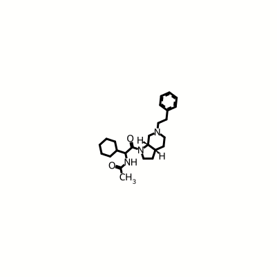 CC(=O)NC(C(=O)N1CC[C@H]2CCN(CCc3ccccc3)C[C@H]21)C1CCCCC1